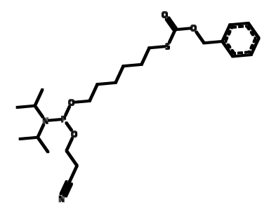 CC(C)N(C(C)C)P(OCCC#N)OCCCCCCSC(=O)OCc1ccccc1